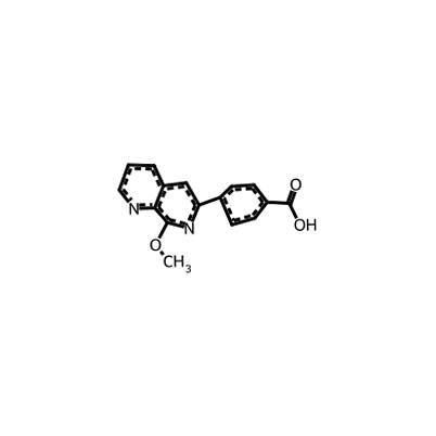 COc1nc(-c2ccc(C(=O)O)cc2)cc2cccnc12